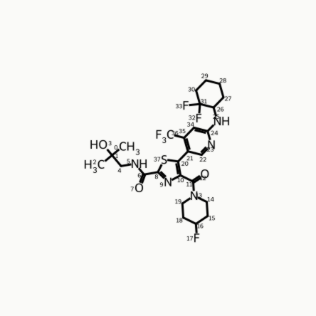 CC(C)(O)CNC(=O)c1nc(C(=O)N2CCC(F)CC2)c(-c2cnc(NC3CCCCC3(F)F)cc2C(F)(F)F)s1